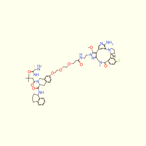 CN[C@@H](C)C(=O)N[C@H](C(=O)N1Cc2cc(OCCOCCOCCC(=O)NCCn3nc4c(c3OC)-c3cnc(N)c(c3)N3CCC[C@@H]3c3cc(F)ccc3C(=O)N(C)C4)ccc2C[C@H]1C(=O)N[C@@H]1CCCc2ccccc21)C(C)(C)C